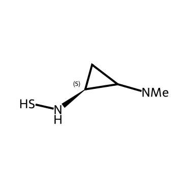 CNC1C[C@@H]1NS